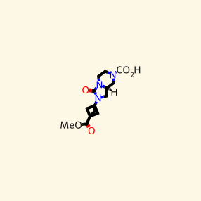 COC(=O)C12CC(N3C[C@@H]4CN(C(=O)O)CCN4C3=O)(C1)C2